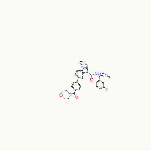 CC(NC(=O)c1cn(C)c2ccc(-c3ccc(C(=O)N4CCOCC4)cc3)cc12)c1cccc(F)c1